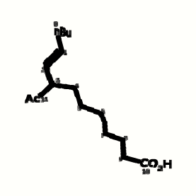 CCCCC=CC(CCCCCCC(=O)O)C(C)=O